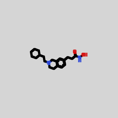 O=C(CCc1ccc2c(c1)CN(CCC1CCCCC1)CC2)NO